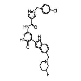 O=C(Nc1c[nH]c(=O)c(-c2cc3cc(CN4CCCC(F)C4)ccc3[nH]2)c1)c1cnn(Cc2ccc(Cl)cc2)c1